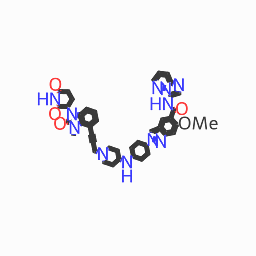 COc1cc2nn(C3CCC(NC4CCN(CC#Cc5cccc6c5n(C)c(=O)n6C5CCC(=O)NC5=O)CC4)CC3)cc2cc1C(=O)Nc1cnc2cccnn12